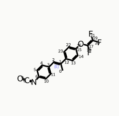 C/C(=C\c1ccc(N=C=O)cc1)c1ccc(OC(F)=C(F)F)cc1